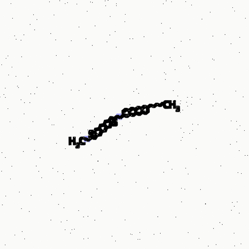 C/C=C/c1cc2cc3cc4cc5sc(/C=C/c6ccc7cc8cc9cc(CCCCCC)ccc9cc8cc7c6)cc5cc4cc3cc2s1